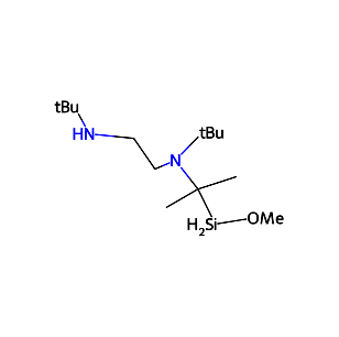 CO[SiH2]C(C)(C)N(CCNC(C)(C)C)C(C)(C)C